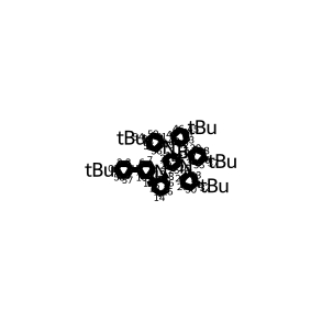 CC(C)(C)c1ccc(-c2ccc3c(c2)C2(C)CCCCC2(C)N3c2cc3c4c(c2)N(c2cccc(C(C)(C)C)c2)c2cc(C(C)(C)C)ccc2B4c2cc(C(C)(C)C)ccc2N3c2ccc(C(C)(C)C)cc2)cc1